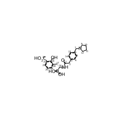 O=C(Cc1ccc(CN2CCCC2)cc1)N[C@@H](Cc1cccc(C(=O)O)c1O)B(O)O